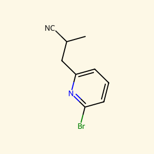 CC(C#N)Cc1cccc(Br)n1